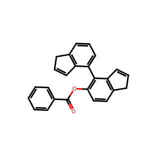 O=C(Oc1ccc2c(c1-c1cccc3c1C=CC3)C=CC2)c1ccccc1